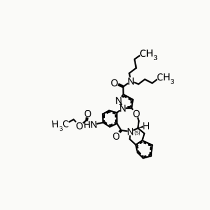 CCCCN(CCCC)C(=O)c1cc2n(n1)-c1ccc(NC(=O)OCC)cc1C(=O)N1Cc3ccccc3C[C@H]1CO2